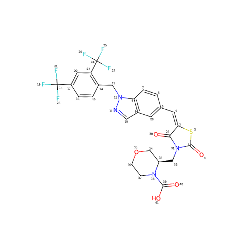 O=C1SC(=Cc2ccc3c(cnn3Cc3ccc(C(F)(F)F)cc3C(F)(F)F)c2)C(=O)N1C[C@@H]1COCCN1C(=O)O